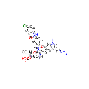 NCCc1c[nH]c2ccc(CC3NC(=O)N(Cc4cccc(C(=O)Nc5ccc(Cl)cc5)c4)C3=O)cc12.O.O.O=C(O)/C=C\C(=O)O